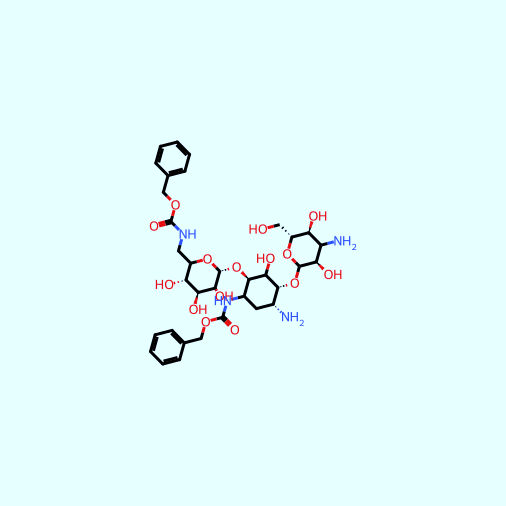 NC1[C@@H](O)C(O[C@H]2C(O)[C@H](O[C@H]3OC(CNC(=O)OCc4ccccc4)[C@@H](O)[C@H](O)C3O)C(NC(=O)OCc3ccccc3)C[C@H]2N)O[C@H](CO)[C@H]1O